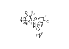 [2H]C1([2H])NC(=O)[C@@H](C)N(C(=O)N[C@H](c2ccc(F)c(Cl)c2F)C2CC(C(F)(F)F)C2)C1([2H])[2H]